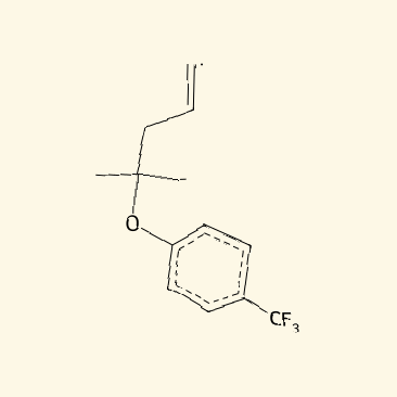 [CH]=CCC(C)(C)Oc1ccc(C(F)(F)F)cc1